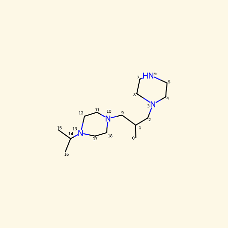 CC(CN1CCNCC1)CN1CCN(C(C)C)CC1